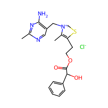 Cc1ncc(C[n+]2csc(CCOC(=O)C(O)c3ccccc3)c2C)c(N)n1.[Cl-]